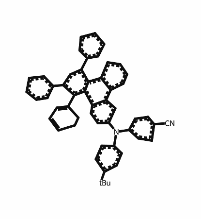 CC(C)(C)c1ccc(N(c2ccc(C#N)cc2)c2ccc3c(c2)c2ccccc2c2c(-c4ccccc4)cc(-c4ccccc4)c(C4=CC=CCC4)c32)cc1